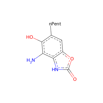 CCCCCc1cc2oc(=O)[nH]c2c(N)c1O